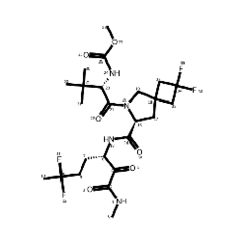 CNC(=O)C(=O)[C@H](CCC(C)(F)F)NC(=O)[C@@H]1CC2(CN1C(=O)[C@@H](NC(=O)OC)C(C)(C)C)CC(F)(F)C2